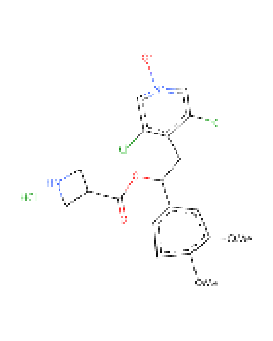 COc1ccc(C(Cc2c(Cl)c[n+]([O-])cc2Cl)OC(=O)C2CNC2)cc1OC.Cl